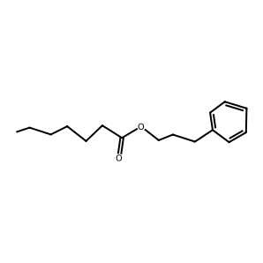 CCCCCCC(=O)OCCCc1ccccc1